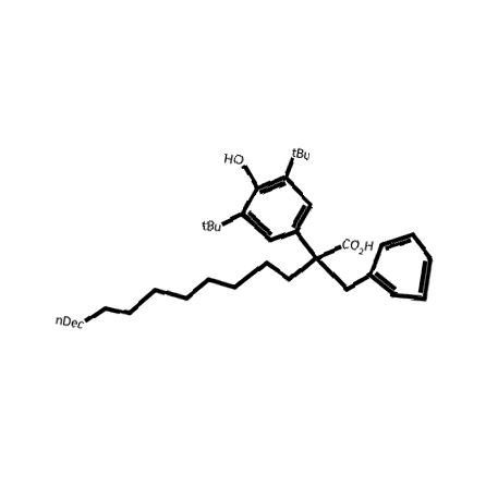 CCCCCCCCCCCCCCCCCCC(Cc1ccccc1)(C(=O)O)c1cc(C(C)(C)C)c(O)c(C(C)(C)C)c1